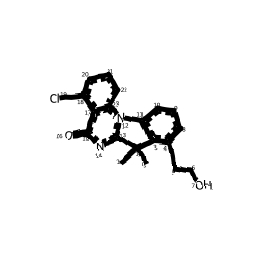 CC1(C)c2c(CCO)cccc2-n2c1nc(=O)c1c(Cl)cccc12